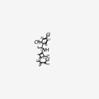 CC(NC1=C[C@H](C(C)[C@H](C)[C@H](C)Cl)C1C)C1C=CC(Cl)=CC1Cl